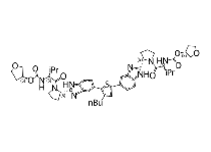 CCCCc1cc(-c2ccc3[nH]c([C@@H]4CCCN4C(=O)[C@@H](NC(=O)O[C@H]4CCOC4)C(C)C)nc3c2)sc1-c1ccc2[nH]c([C@@H]3CCCN3C(=O)[C@@H](NC(=O)O[C@H]3CCOC3)C(C)C)nc2c1